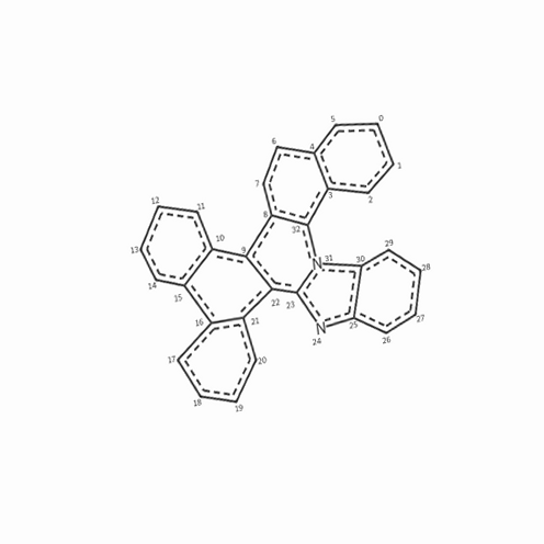 c1ccc2c(c1)ccc1c3c4ccccc4c4ccccc4c3c3nc4ccccc4n3c21